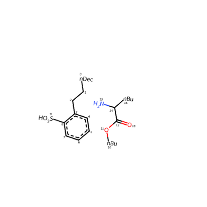 CCCCCCCCCCCCc1ccccc1S(=O)(=O)O.CCCCOC(=O)C(N)CCCC